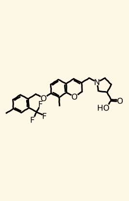 Cc1ccc(COc2ccc3c(c2C)OCC(CN2CCC(C(=O)O)C2)=C3)c(C(F)(F)F)c1